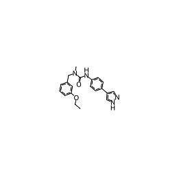 CCOc1cccc(CN(C)C(=O)Nc2ccc(-c3cn[nH]c3)cc2)c1